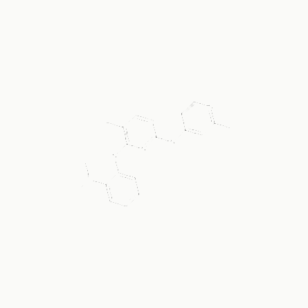 Cc1cc(Nc2ncc(Cl)c(Nc3ccccc3P(C)C)n2)ccn1